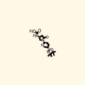 CC1(C)OB(c2ccc(N3C[C@@H](NC(=O)O)CC3=O)nc2)OC1(C)C